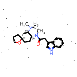 CN(C)[C@@H]1C[C@]2(CCCO2)CC[C@H]1N(C)C(=O)Cc1c[nH]c2ccccc12